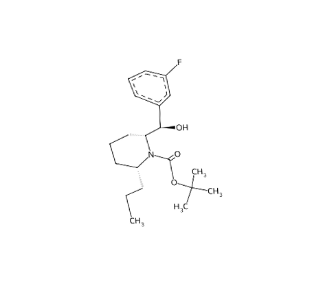 CCC[C@@H]1CCC[C@H]([C@H](O)c2cccc(F)c2)N1C(=O)OC(C)(C)C